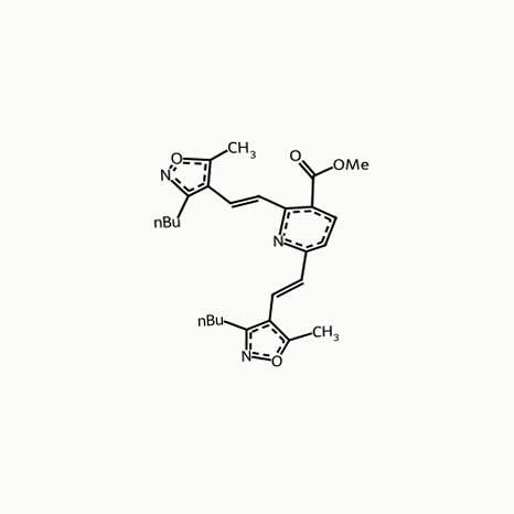 CCCCc1noc(C)c1C=Cc1ccc(C(=O)OC)c(C=Cc2c(CCCC)noc2C)n1